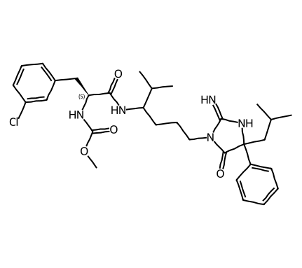 COC(=O)N[C@@H](Cc1cccc(Cl)c1)C(=O)NC(CCCN1C(=N)NC(CC(C)C)(c2ccccc2)C1=O)C(C)C